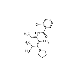 C/C=C(NC(=O)c1ccccc1Cl)/C(C)=C(\C(C)C)N1CCCC1